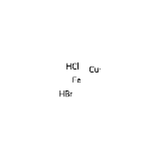 Br.Cl.[Cu].[Fe]